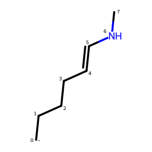 [CH2]CCCC=CNC